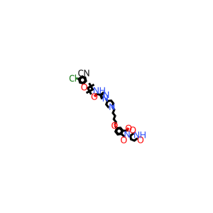 CC1(C)[C@H](NC(=O)c2cnn(C3CCN(CCCCCOc4ccc5c(c4)C(=O)N(C4CCC(=O)NC4=O)C5=O)CC3)c2)C(C)(C)[C@H]1Oc1ccc(C#N)c(Cl)c1